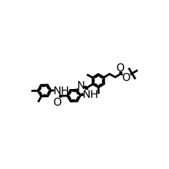 Cc1ccc(NC(=O)c2ccc3[nH]c(-c4c(C)cc(CCC(=O)OC(C)(C)C)cc4C)nc3c2)cc1C